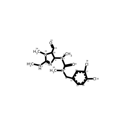 CNC1=NC(N(C)C(=O)N(C)Cc2ccc(Cl)c(Cl)c2)C(C=O)N1C